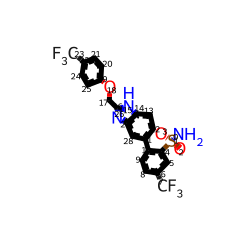 NS(=O)(=O)c1cc(C(F)(F)F)ccc1-c1ccc2[nH]c(COc3ccc(C(F)(F)F)cc3)nc2c1